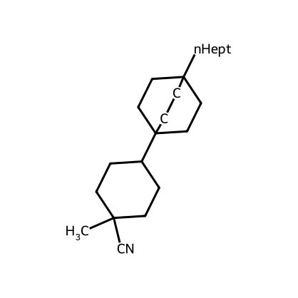 CCCCCCCC12CCC(C3CCC(C)(C#N)CC3)(CC1)CC2